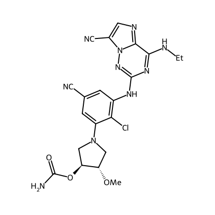 CCNc1nc(Nc2cc(C#N)cc(N3C[C@H](OC)[C@@H](OC(N)=O)C3)c2Cl)nn2c(C#N)cnc12